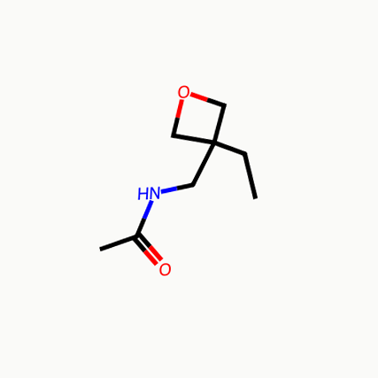 CCC1(CNC(C)=O)COC1